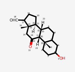 C[C@]12CCC(O)CC1CC[C@@H]1[C@H]2C(=O)C[C@]2(C)C(C=O)CC[C@@H]12